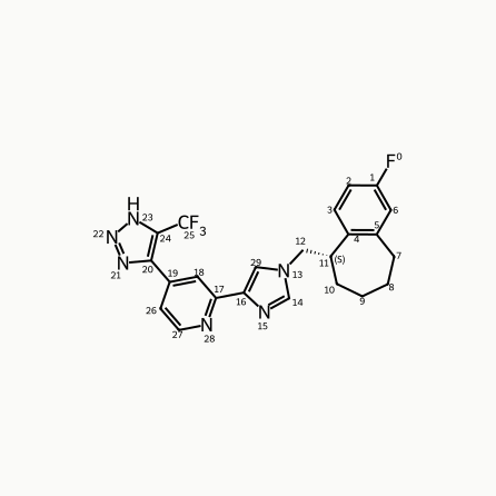 Fc1ccc2c(c1)CCCC[C@@H]2Cn1cnc(-c2cc(-c3nn[nH]c3C(F)(F)F)ccn2)c1